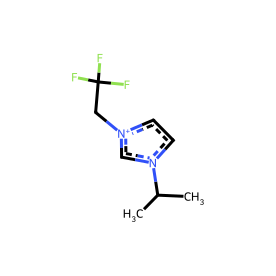 CC(C)n1cc[n+](CC(F)(F)F)c1